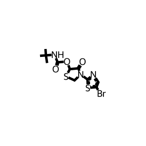 CC(C)(C)NC(=O)OC1SCN(c2ncc(Br)s2)C1=O